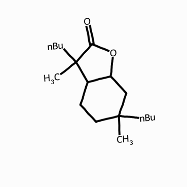 CCCCC1(C)CCC2C(C1)OC(=O)C2(C)CCCC